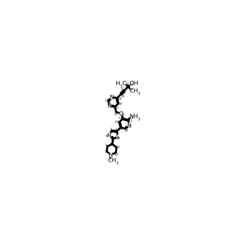 CN1CCC(c2ncc(-c3cnc(N)c(OCc4cc(C#CC(C)(C)O)ncn4)c3)s2)CC1